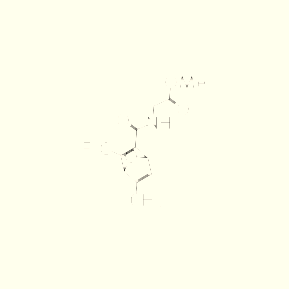 COC(=O)CNC(=O)C1=C(C(F)(F)F)C2OC1C=C2C